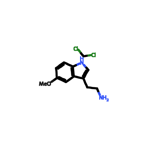 COc1ccc2[nH]cc(CCN)c2c1.ClCCl